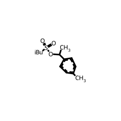 CCC(C)S(=O)(=O)OC(C)c1ccc(C)cc1